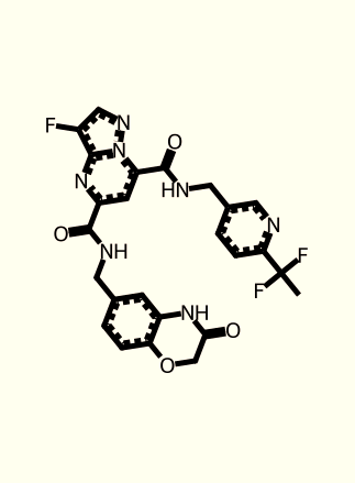 CC(F)(F)c1ccc(CNC(=O)c2cc(C(=O)NCc3ccc4c(c3)NC(=O)CO4)nc3c(F)cnn23)cn1